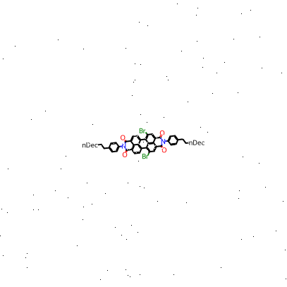 CCCCCCCCCCCCc1ccc(N2C(=O)c3ccc4c5c(Br)cc6c7c(cc(Br)c(c8ccc(c3c48)C2=O)c75)C(=O)N(c2ccc(CCCCCCCCCCCC)cc2)C6=O)cc1